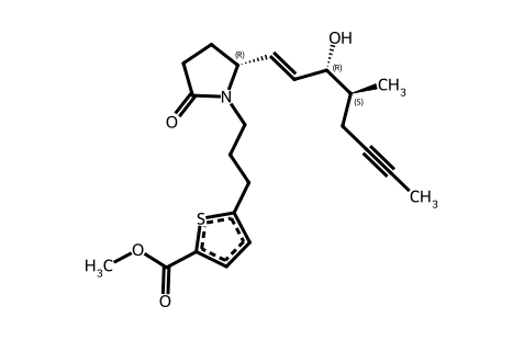 CC#CC[C@H](C)[C@@H](O)C=C[C@H]1CCC(=O)N1CCCc1ccc(C(=O)OC)s1